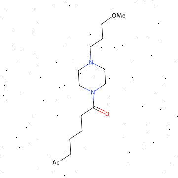 COCCCN1CCN(C(=O)CCCCC(C)=O)CC1